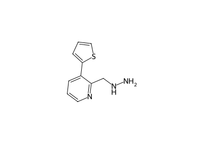 NNCc1ncccc1-c1cccs1